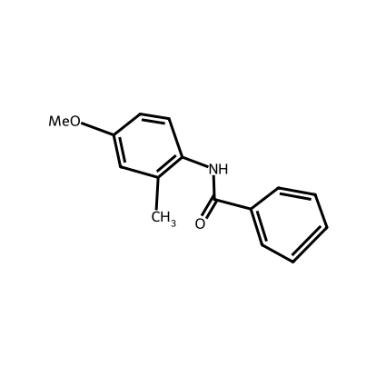 COc1ccc(NC(=O)c2ccccc2)c(C)c1